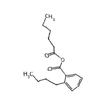 CCCCCC(=O)OC(=O)c1ccccc1CCCC